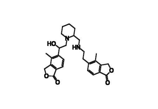 Cc1c(CCNCC2CCCCN2CC(O)c2ccc3c(c2C)COC3=O)ccc2c1COC2=O